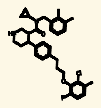 Cc1cccc(CN(C(=O)C2CNCCC2c2ccc(CCCOc3c(F)ccc(C)c3Cl)cc2)C2CC2)c1C